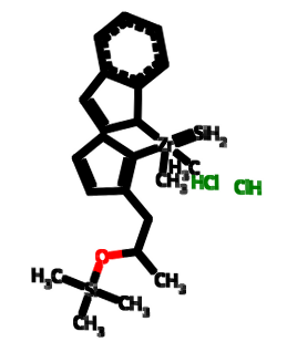 CC(CC1=[C]([Zr]([CH3])([CH3])(=[SiH2])[CH]2C=Cc3ccccc32)CC=C1)O[Si](C)(C)C.Cl.Cl